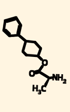 C[C@H](N)C(=O)OC1CCC(c2ccccc2)CC1